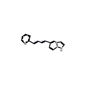 C1=CN2C=C(/C=C/C=C/c3ccccn3)C=CN2N1